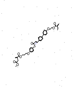 C=C(F)C(=O)OCCOc1ccc(-c2ccc(/C=C/C(=O)Sc3ccc(OCCCOC(=O)C(=C)CC(=O)OC)cc3)cc2)cc1